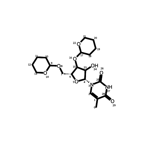 Cc1cn([C@@H]2O[C@H](COC3CCCCO3)C(OC3CCCCO3)C2O)c(=O)[nH]c1=O